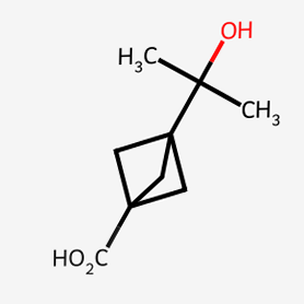 CC(C)(O)C12CC(C(=O)O)(C1)C2